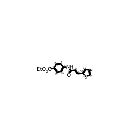 CCOC(=O)c1ccc(NC(=O)C=Cc2cccs2)cc1